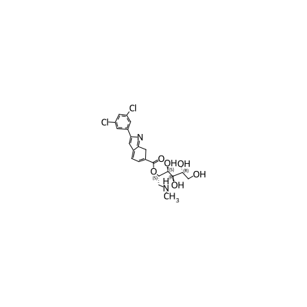 CNC[C@H](OC(=O)C1=CC=C2C=C(c3cc(Cl)cc(Cl)c3)N=C2C1)[C@@H](O)[C@H](O)[C@H](O)CO